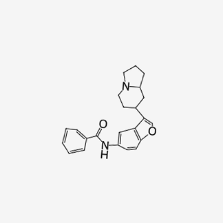 O=C(Nc1ccc2occ(C3CCN4CCCC4C3)c2c1)c1ccccc1